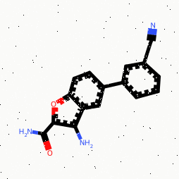 N#Cc1cccc(-c2ccc3oc(C(N)=O)c(N)c3c2)c1